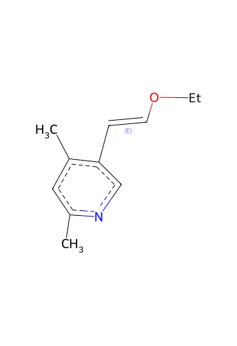 CCO/C=C/c1cnc(C)cc1C